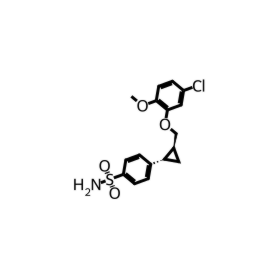 COc1ccc(Cl)cc1OC[C@H]1C[C@@H]1c1ccc(S(N)(=O)=O)cc1